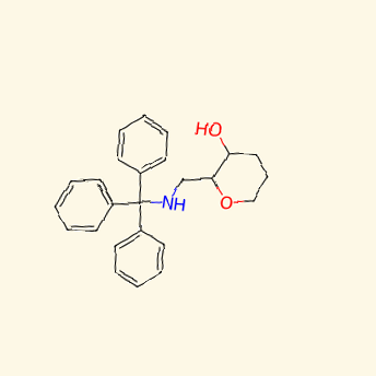 OC1CCCOC1CNC(c1ccccc1)(c1ccccc1)c1ccccc1